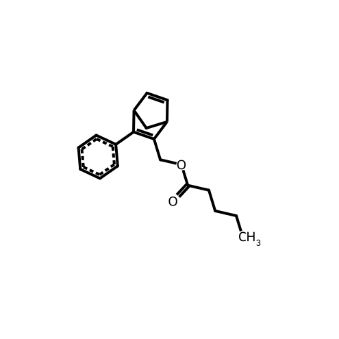 CCCCC(=O)OCC1=C(c2ccccc2)C2C=CC1C2